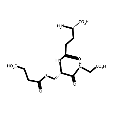 N[C@@H](CCC(=O)N[C@@H](CSC(=O)CCC(=O)O)C(=O)NCC(=O)O)C(=O)O